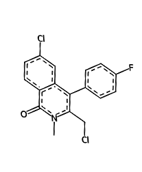 Cn1c(CCl)c(-c2ccc(F)cc2)c2cc(Cl)ccc2c1=O